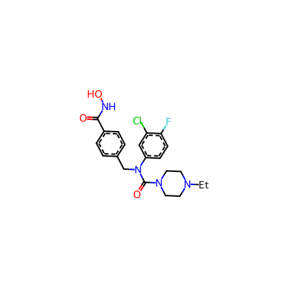 CCN1CCN(C(=O)N(Cc2ccc(C(=O)NO)cc2)c2ccc(F)c(Cl)c2)CC1